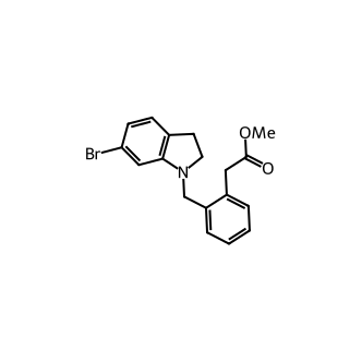 COC(=O)Cc1ccccc1CN1CCc2ccc(Br)cc21